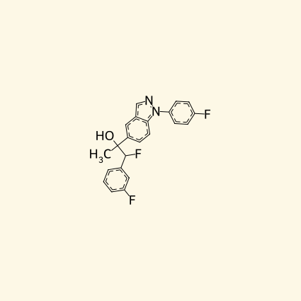 CC(O)(c1ccc2c(cnn2-c2ccc(F)cc2)c1)C(F)c1cccc(F)c1